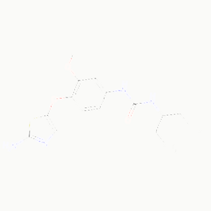 CCC(CC)NC(=O)Nc1ccc(Oc2cnc(N)s2)c(OC)c1